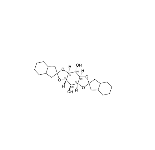 O[C@@H]1[C@H]2OC3(CC4CCCCC4C3)O[C@H]2[C@@H](O)[C@@H]2OC3(CC4CCCCC4C3)O[C@@H]12